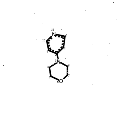 [c]1cc(N2CCOCC2)ccn1